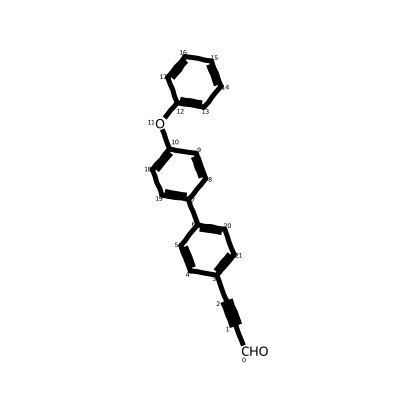 O=CC#Cc1ccc(-c2ccc(Oc3ccccc3)cc2)cc1